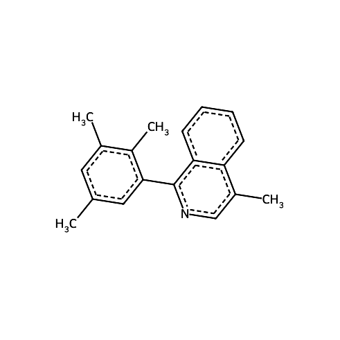 Cc1cc(C)c(C)c(-c2ncc(C)c3ccccc23)c1